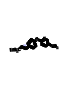 CCOC(=O)/C=C/c1ccc(Oc2ccc([N+](=O)[O-])cn2)cc1